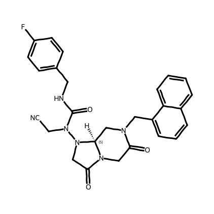 N#CCN(C(=O)NCc1ccc(F)cc1)N1CC(=O)N2CC(=O)N(Cc3cccc4ccccc34)C[C@@H]21